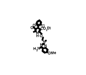 CCOC(=O)C1=C(COCCN(C)c2nc(N)c3ccc(OC)cc3n2)NC(C)=C(C(=O)OC)C1c1ccccc1Cl